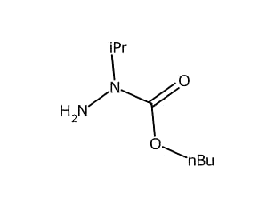 CCCCOC(=O)N(N)C(C)C